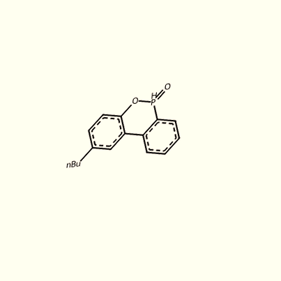 CCCCc1ccc2c(c1)-c1ccccc1[PH](=O)O2